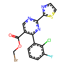 O=C(OCBr)c1cnc(-c2nccs2)nc1-c1cccc(F)c1Cl